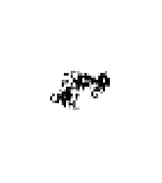 COc1cc(N)c(Cl)cc1C(=O)NCC1CCN(CC(NC(=O)O)c2ccccc2)CC1.Cl